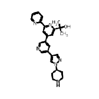 CC(C)(O)c1cc(-c2cncc(-c3cnn(C4CCNCC4)c3)c2)cc(-c2ccccn2)n1